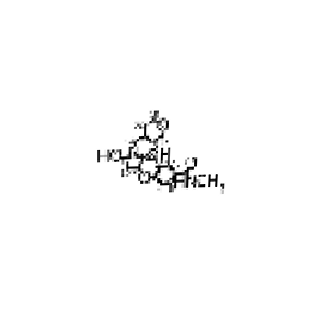 CNC(=O)c1ccc(OC2=CC(O)N(CC3CCOCC3)C2O)cc1